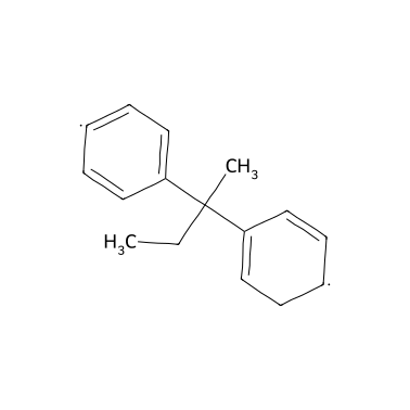 CCC(C)(C1=CC[CH]C=C1)c1cc[c]cc1